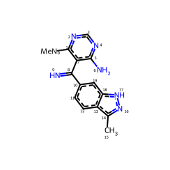 CNc1ncnc(N)c1C(=N)c1ccc2c(C)n[nH]c2c1